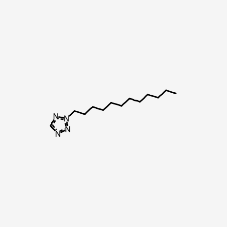 CCCCCCCCCCCCn1ncnn1